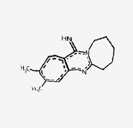 Cc1cc2nc3n(c(=N)c2cc1C)CCCCC3